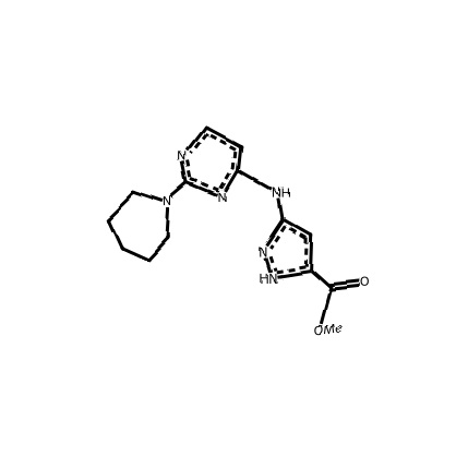 COC(=O)c1cc(Nc2ccnc(N3CCCCC3)n2)n[nH]1